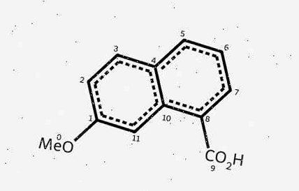 COc1ccc2cccc(C(=O)O)c2c1